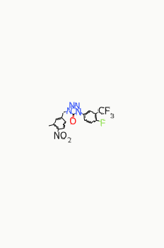 Cc1cc(Cn2nnn(-c3ccc(F)c(C(F)(F)F)c3)c2=O)ccc1[N+](=O)[O-]